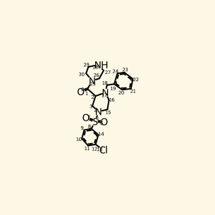 O=C(C1CN(S(=O)(=O)c2cccc(Cl)c2)CCN1Cc1ccccc1)N1CCNCC1